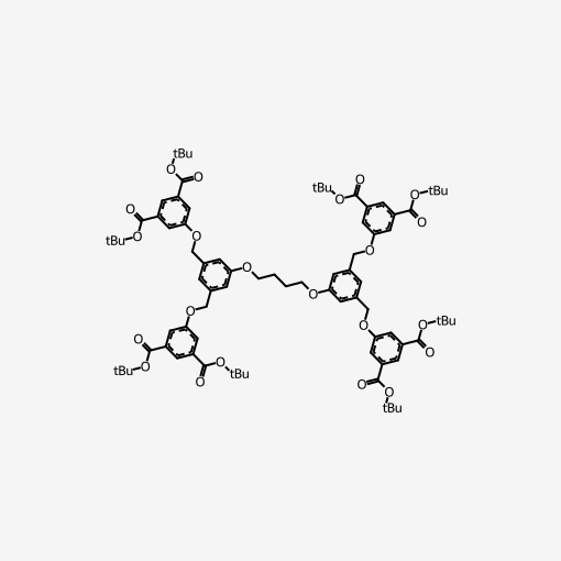 CC(C)(C)OC(=O)c1cc(OCc2cc(COc3cc(C(=O)OC(C)(C)C)cc(C(=O)OC(C)(C)C)c3)cc(OCCCCOc3cc(COc4cc(C(=O)OC(C)(C)C)cc(C(=O)OC(C)(C)C)c4)cc(COc4cc(C(=O)OC(C)(C)C)cc(C(=O)OC(C)(C)C)c4)c3)c2)cc(C(=O)OC(C)(C)C)c1